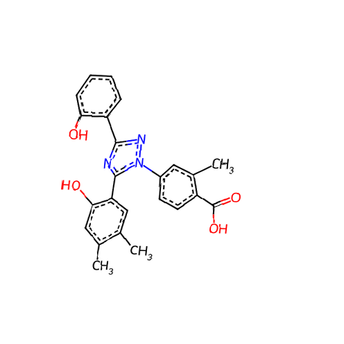 Cc1cc(O)c(-c2nc(-c3ccccc3O)nn2-c2ccc(C(=O)O)c(C)c2)cc1C